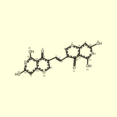 O=c1c(/C=C/c2coc3cc(O)nc(O)c3c2=O)coc2cc(O)nc(O)c12